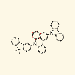 CC1(C)c2ccccc2-c2cc(N(c3ccccc3)c3ccccc3-c3cc(-n4c5ccccc5c5ccccc54)cc4ccccc34)ccc21